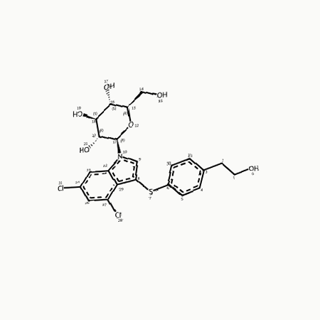 OCCc1ccc(Sc2cn([C@@H]3O[C@H](CO)[C@@H](O)[C@H](O)[C@H]3O)c3cc(Cl)cc(Cl)c23)cc1